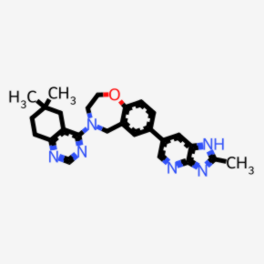 Cc1nc2ncc(-c3ccc4c(c3)CN(c3ncnc5c3CC(C)(C)CC5)CCO4)cc2[nH]1